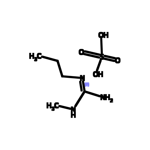 CCC/N=C(/N)NC.O=S(=O)(O)O